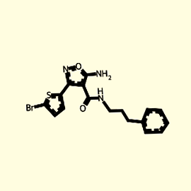 Nc1onc(-c2ccc(Br)s2)c1C(=O)NCCCc1ccccc1